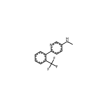 CNc1ccc(-c2ccccc2C(F)(F)F)nc1